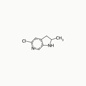 CC1Cc2cc(Cl)ncc2N1